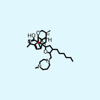 CCCCCCC1CC(C23C[C@@H]4[C@H](C)COC5(CC2C=C(C(C)C)C35C(=O)O)[C@@H]4C)OC1CN1CCCN(C)CC1